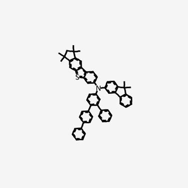 CC1(C)CC(C)(C)c2cc3c(cc21)sc1cc(N(c2ccc(-c4ccc(-c5ccccc5)cc4)c(-c4ccccc4)c2)c2ccc4c(c2)-c2ccccc2C4(C)C)ccc13